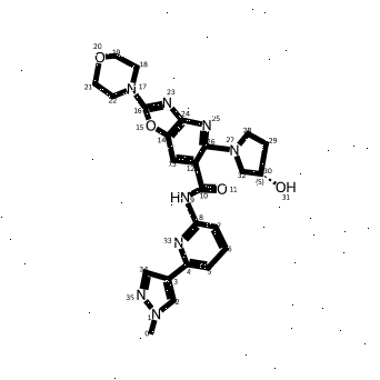 Cn1cc(-c2cccc(NC(=O)c3cc4oc(N5CCOCC5)nc4nc3N3CC[C@H](O)C3)n2)cn1